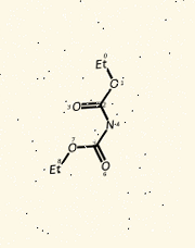 CCOC(=O)[N]C(=O)OCC